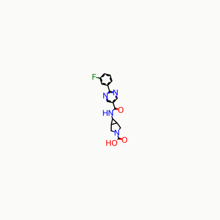 O=C(NC1C2CN(C(=O)O)CC21)c1cnc(-c2cccc(F)c2)nc1